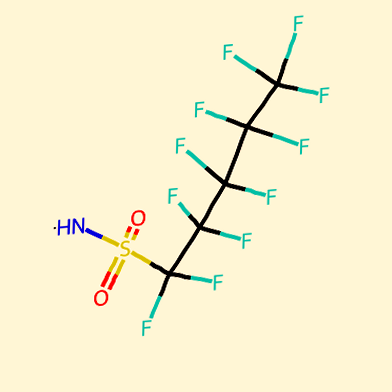 [NH]S(=O)(=O)C(F)(F)C(F)(F)C(F)(F)C(F)(F)C(F)(F)F